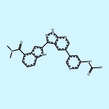 CC(C)C(=O)Nc1cncc(-c2cnc3[nH]nc(-c4cc5c(C(=O)N(C)C)cccc5[nH]4)c3c2)c1